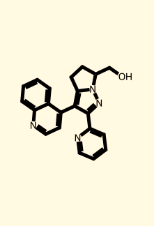 OCC1CCc2c(-c3ccnc4ccccc34)c(-c3ccccn3)nn21